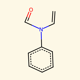 C=CN(C=O)c1ccccc1